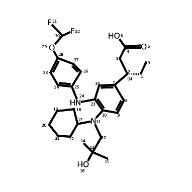 CC[C@@H](CC(=O)O)c1ccc(N(CC(C)(C)O)C2CCCCC2)c(Nc2ccc(OC(F)F)cc2)c1